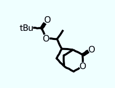 CC(OC(=O)C(C)(C)C)C1CC2COC(=O)C1C2